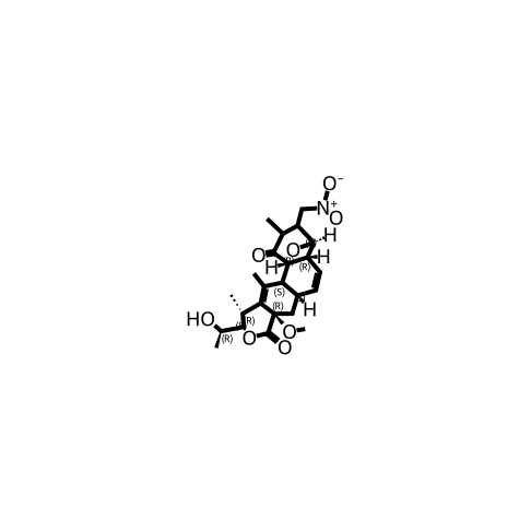 CO[C@]12C[C@H]3C=C[C@@H]4[C@H]5C(=O)C(C)C(C[N+](=O)[O-])[C@@H]4O[C@@]35C(C)=C1[C@@H](C)[C@@H]([C@@H](C)O)OC2=O